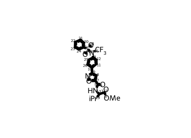 COC(=O)C(NC(=O)c1cc(-c2ccc(N(C(F)(F)F)S(=O)(=O)c3ccccc3)cc2)no1)C(C)C